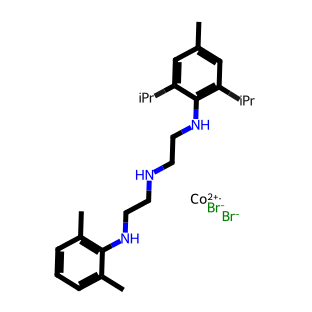 Cc1cc(C(C)C)c(NCCNCCNc2c(C)cccc2C)c(C(C)C)c1.[Br-].[Br-].[Co+2]